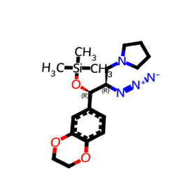 C[Si](C)(C)O[C@H](c1ccc2c(c1)OCCO2)[C@@H](CN1CCCC1)N=[N+]=[N-]